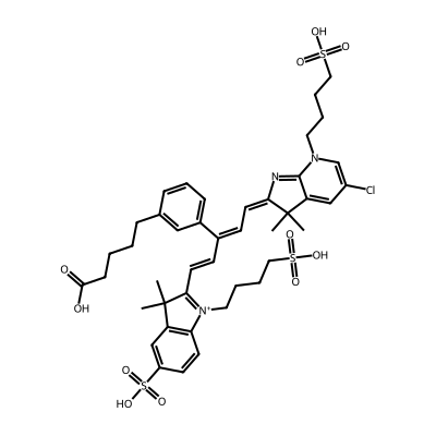 CC1(C)C2=CC(Cl)=CN(CCCCS(=O)(=O)O)C2=N/C1=C/C=C(/C=C/C1=[N+](CCCCS(=O)(=O)O)c2ccc(S(=O)(=O)O)cc2C1(C)C)c1cccc(CCCCC(=O)O)c1